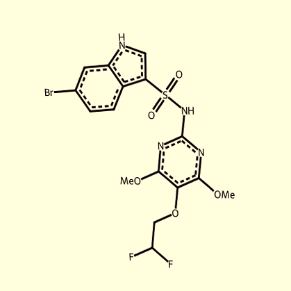 COc1nc(NS(=O)(=O)c2c[nH]c3cc(Br)ccc23)nc(OC)c1OCC(F)F